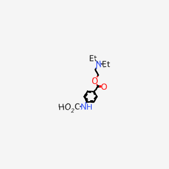 CCN(CC)CCOC(=O)c1ccc(NC(=O)O)cc1